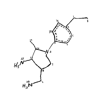 CCc1ccc(N2CC(CN)C(N)C2C)cc1